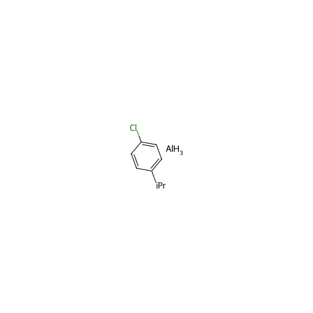 [AlH3].[CH2]C(C)c1ccc(Cl)cc1